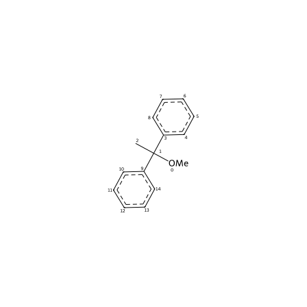 COC(C)(c1ccccc1)c1ccccc1